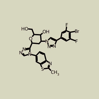 Cc1nc2ccc(-n3cnnc3C3CC(n4cc(-c5cc(F)c(Br)c(F)c5)nn4)C(O)C(CO)O3)cc2s1